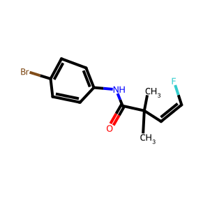 CC(C)(/C=C\F)C(=O)Nc1ccc(Br)cc1